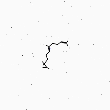 CC(C)=CCC/C(C)=C/CCC1(C)OC1C(=O)O